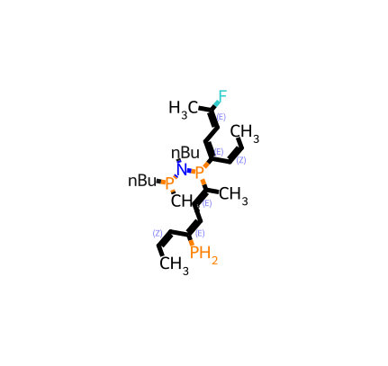 C\C=C/C(P)=C\C=C(/C)P(C(/C=C\C)=C/C=C(\C)F)N(CCCC)P(C)CCCC